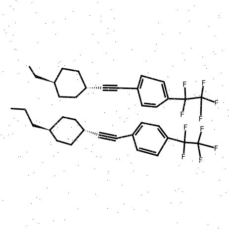 CCC[C@H]1CC[C@H](C#Cc2ccc(C(F)(F)C(F)(F)F)cc2)CC1.CC[C@H]1CC[C@H](C#Cc2ccc(C(F)(F)C(F)(F)F)cc2)CC1